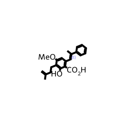 C=C(C)CCc1c(OC)cc(/C=C(\C)c2ccccc2)c(C(=O)O)c1O